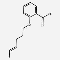 CC=CCCCOc1ccccc1C(=O)Cl